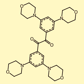 O=C(C(=O)c1cc(N2CCOCC2)cc(N2CCOCC2)c1)c1cc(N2CCOCC2)cc(N2CCOCC2)c1